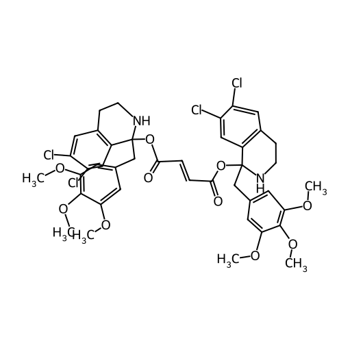 COc1cc(CC2(OC(=O)/C=C/C(=O)OC3(Cc4cc(OC)c(OC)c(OC)c4)NCCc4cc(Cl)c(Cl)cc43)NCCc3cc(Cl)c(Cl)cc32)cc(OC)c1OC